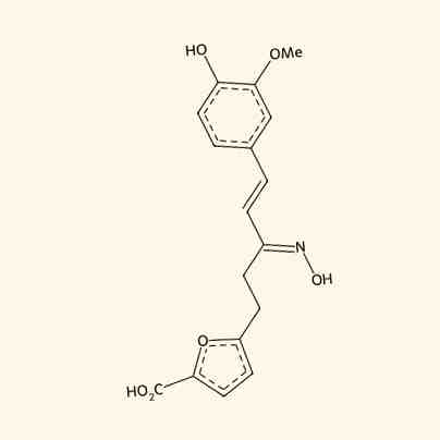 COc1cc(C=CC(CCc2ccc(C(=O)O)o2)=NO)ccc1O